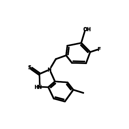 Cc1ccc2[nH]c(=S)n(Cc3ccc(F)c(O)c3)c2c1